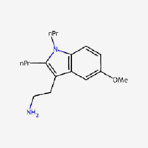 CCCc1c(CCN)c2cc(OC)ccc2n1CCC